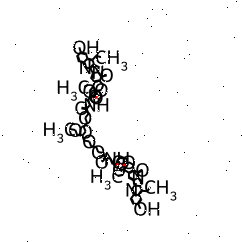 CCC1=c2cc(O)ccc2=NC2c3cc4c(c(=O)n3CC12)COC(=O)[C@@]4(CC)OC(=O)CNC(=O)COCCOCC(COC)OCCOCC(=O)NCC(=O)O[C@]1(CC)C(=O)OCc2c1cc1n(c2=O)Cc2c-1nc1ccc(O)cc1c2CC